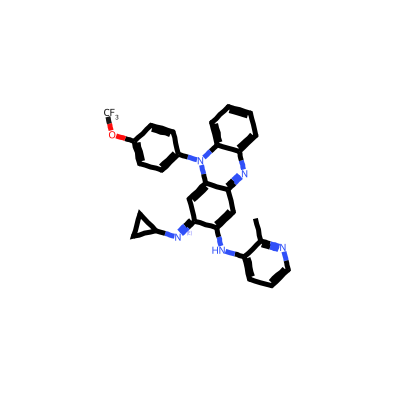 Cc1ncccc1Nc1cc2nc3ccccc3n(-c3ccc(OC(F)(F)F)cc3)c-2c/c1=N\C1CC1